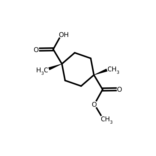 COC(=O)[C@]1(C)CC[C@](C)(C(=O)O)CC1